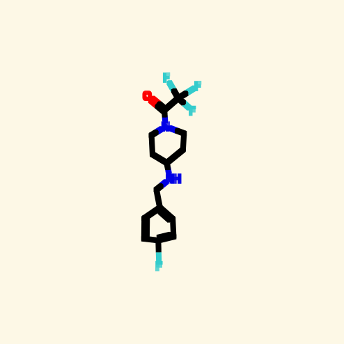 O=C(N1CCC(NCc2ccc(F)cc2)CC1)C(F)(F)F